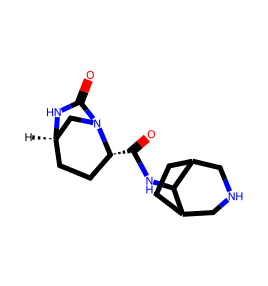 O=C(NC1C2CCC1CNC2)[C@@H]1CC[C@@H]2CN1C(=O)N2